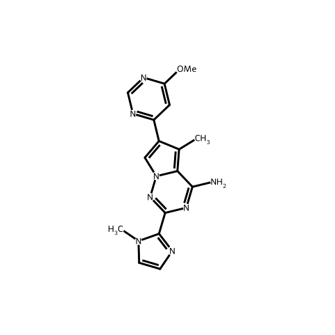 COc1cc(-c2cn3nc(-c4nccn4C)nc(N)c3c2C)ncn1